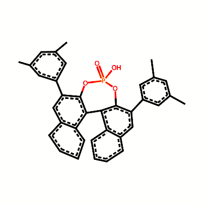 Cc1cc(C)cc(-c2cc3ccccc3c3c2OP(=O)(O)Oc2c(-c4cc(C)cc(C)c4)cc4ccccc4c2-3)c1